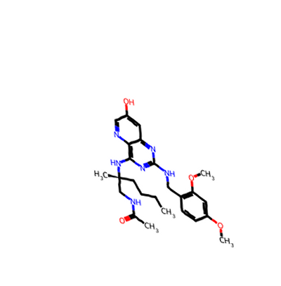 CCCC[C@](C)(CNC(C)=O)Nc1nc(NCc2ccc(OC)cc2OC)nc2cc(O)cnc12